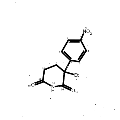 CCC1(c2ccc([N+](=O)[O-])cc2)CCC(=O)NC1=O